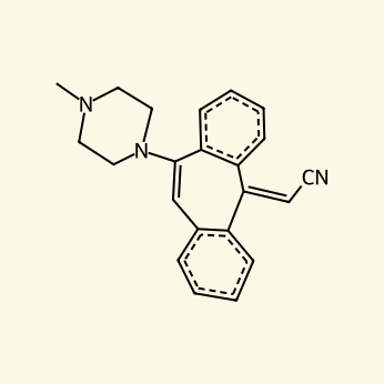 CN1CCN(C2=Cc3ccccc3/C(=C/C#N)c3ccccc32)CC1